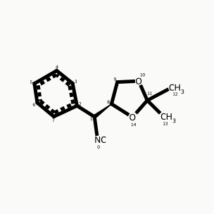 [C-]#[N+]C(c1ccccc1)[C@H]1COC(C)(C)O1